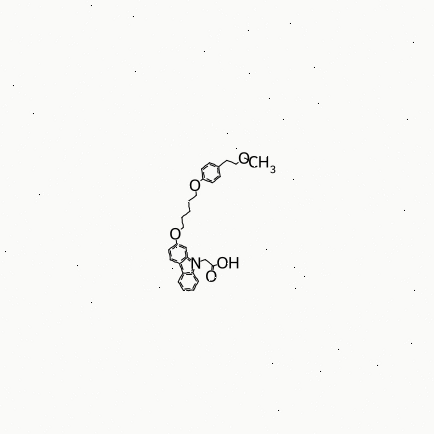 COCCc1ccc(OCCCCCOc2ccc3c4ccccc4n(CC(=O)O)c3c2)cc1